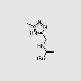 C=C(NCc1nnc(C)[nH]1)C(C)(C)C